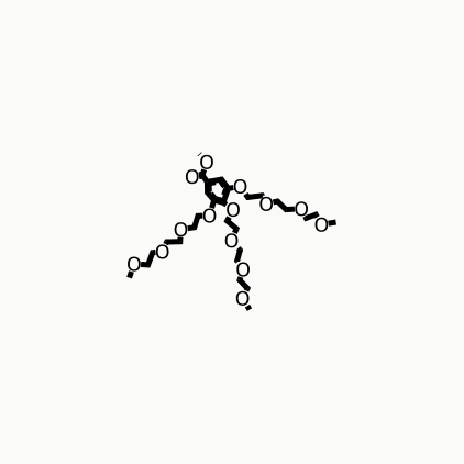 COCCOCCOCCOc1cc(C(=O)OC)cc(OCCOCCOCCOC)c1OCCOCCOCCOC